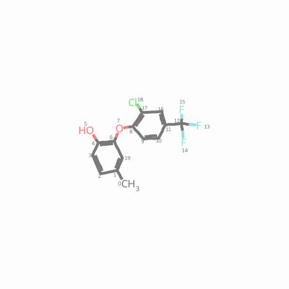 Cc1ccc(O)c(Oc2ccc(C(F)(F)F)cc2Cl)c1